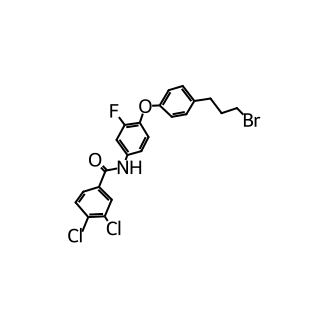 O=C(Nc1ccc(Oc2ccc(CCCBr)cc2)c(F)c1)c1ccc(Cl)c(Cl)c1